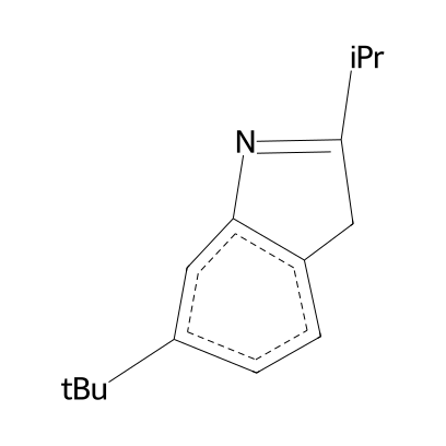 CC(C)C1=Nc2cc(C(C)(C)C)ccc2C1